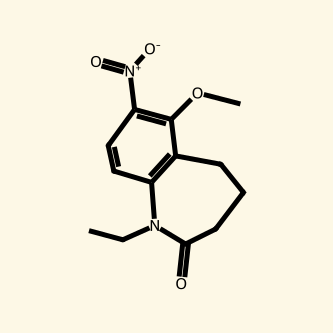 CCN1C(=O)CCCc2c1ccc([N+](=O)[O-])c2OC